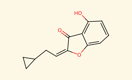 O=C1C(=CCC2CC2)Oc2cccc(O)c21